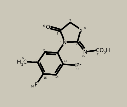 Cc1cc(N2C(=O)CSC2=NC(=O)O)c(C(C)C)cc1F